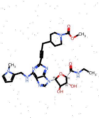 CCNC(=O)[C@H]1O[C@@H](n2cnc3c(NCc4cccn4C)nc(C#CCC4CCN(C(=O)OC)CC4)nc32)C(O)[C@H]1O